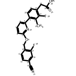 Cc1c(-c2cccc(OCc3ccc(C#N)cc3F)n2)ccc(CC(=O)O)c1F